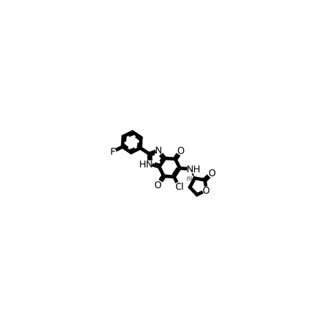 O=C1C(N[C@H]2CCOC2=O)=C(Cl)C(=O)c2[nH]c(-c3cccc(F)c3)nc21